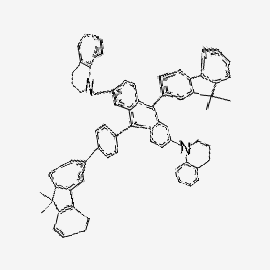 CC1(C)C2=C(CCC=C2)c2cc(-c3ccc(-c4c5ccc(N6CCCc7ccccc76)cc5c(-c5ccc6c(c5)C(C)(C)c5ccccc5-6)c5ccc(N6CCCc7ccccc76)cc45)cc3)ccc21